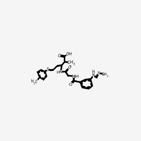 Cc1ccc(SCCC(NC(=O)CNC(=O)c2cccc(NC=NN)c2)C(C)C(=O)O)cc1